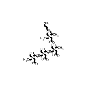 CC[N+](CC)(CC)CC(=O)[O-].CC[N+](CC)(CC)CC(=O)[O-].CC[N+](CC)(CC)CC(=O)[O-].CC[N+](CC)(CC)CC(=O)[O-].NCCN